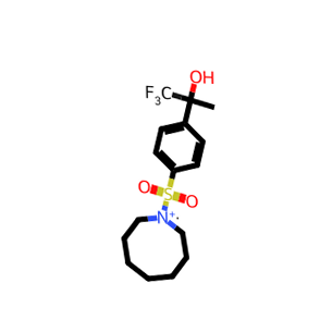 CC(O)(c1ccc(S(=O)(=O)[N+]2CCCCCCC2)cc1)C(F)(F)F